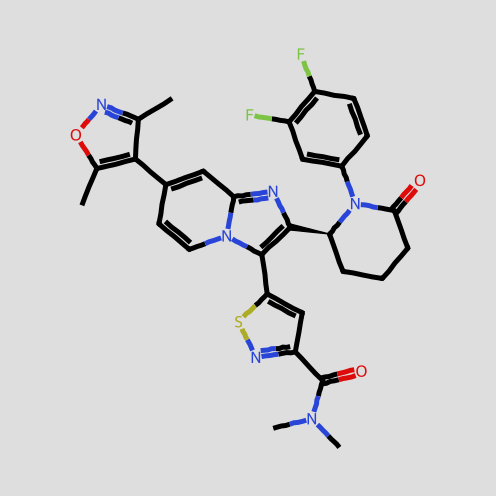 Cc1noc(C)c1-c1ccn2c(-c3cc(C(=O)N(C)C)ns3)c([C@@H]3CCCC(=O)N3c3ccc(F)c(F)c3)nc2c1